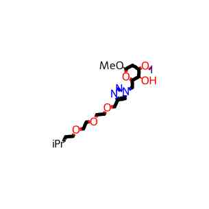 CO[C@@H]1CC(OI)[C@H](O)C(Cn2cc(COCCOCCOCCC(C)C)nn2)O1